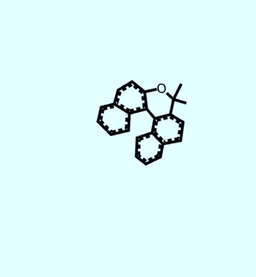 CC1(C)Oc2ccc3ccccc3c2-c2c1ccc1ccccc21